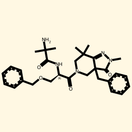 CN1N=C2C(C)(C)CN(C(=O)[C@@H](COCc3ccccc3)NC(=O)C(C)(C)N)CC2(Cc2ccccc2)C1=O